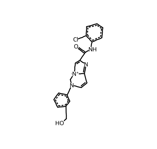 O=C(Nc1ccccc1Cl)C1=C[N+]2CN(c3cccc(CO)c3)C=CC2=N1